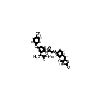 CN(C(=O)OC(C)(C)C)c1cc(Oc2ccc(C(F)(F)F)cc2)ccc1NC(=O)COc1ccc(CC2SC(=O)NC2=O)cc1